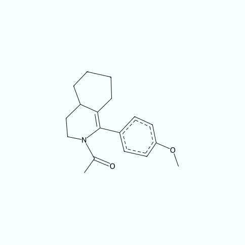 COc1ccc(C2=C3CCCCC3CCN2C(C)=O)cc1